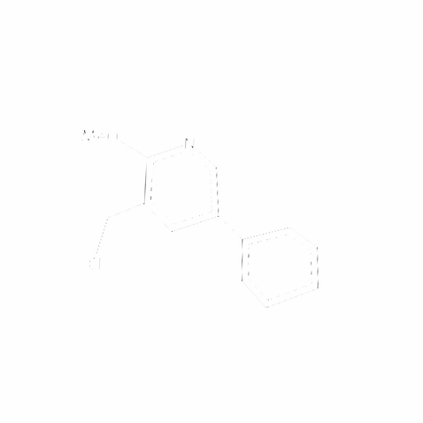 COc1ncc(-c2ccccc2)cc1CCl